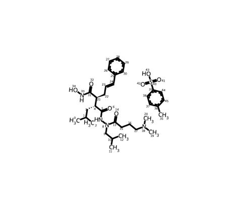 CC(C)C[C@@H](C(=O)NN(CC(C)C)C(=O)CCCN(C)C)[C@H](CC=Cc1ccccc1)C(=O)NO.Cc1ccc(S(=O)(=O)O)cc1